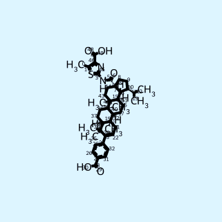 Cc1sc(NC(=O)[C@]23CC[C@@H](C(C)C)[C@@H]2[C@H]2CC[C@@H]4[C@@]5(C)CC=C(c6ccc(C(=O)O)cc6)C(C)(C)[C@@H]5CC[C@@]4(C)[C@]2(C)CC3)nc1C(=O)O